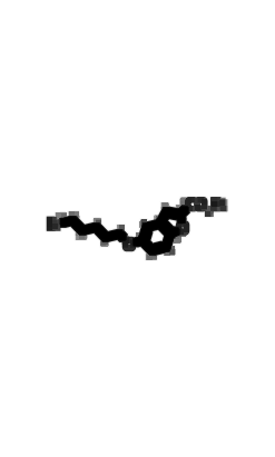 CCOC(=O)c1cc2cc(OCCCCCBr)ccc2o1